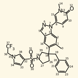 Cc1cc2c(cnn2-c2ccc(=O)n(C)c2)cc1C1(Cc2ccccc2)CCN(S(=O)(=O)c2ccn(CC(F)(F)F)c2)C1